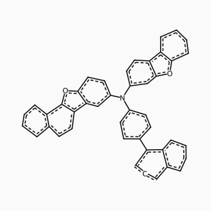 c1ccc2c(-c3ccc(N(c4ccc5c(c4)oc4ccccc45)c4ccc5oc6c7ccccc7ccc6c5c4)cc3)cccc2c1